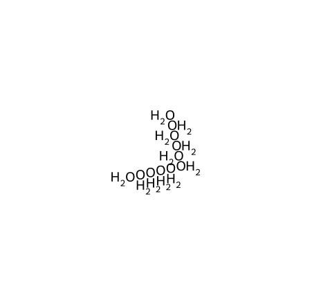 O.O.O.O.O.O.O.O.O.O.O